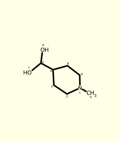 CN1CCC(C(O)O)CC1